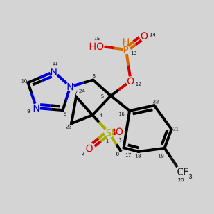 CS(=O)(=O)C1(C(Cn2cncn2)(O[PH](=O)O)c2ccc(C(F)(F)F)cc2)CC1